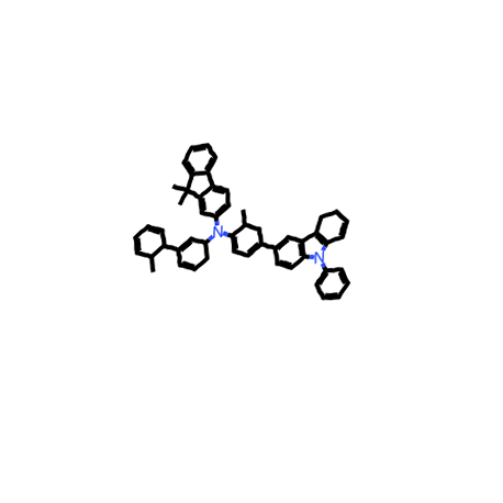 CC1CC(c2ccc3c(c2)c2c(n3-c3ccccc3)C=CCC2)=CC=C1N(c1ccc2c(c1)C(C)(C)c1ccccc1-2)C1C=C(C2C=CC=CC2C)C=CC1